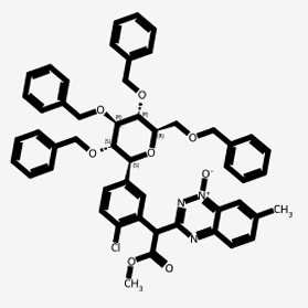 COC(=O)C(c1nc2ccc(C)cc2[n+]([O-])n1)c1cc([C@@H]2O[C@H](COCc3ccccc3)[C@@H](OCc3ccccc3)[C@H](OCc3ccccc3)[C@H]2OCc2ccccc2)ccc1Cl